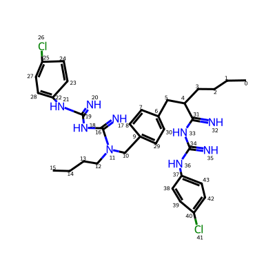 CCCCC(Cc1ccc(CN(CCCC)C(=N)NC(=N)Nc2ccc(Cl)cc2)cc1)C(=N)NC(=N)Nc1ccc(Cl)cc1